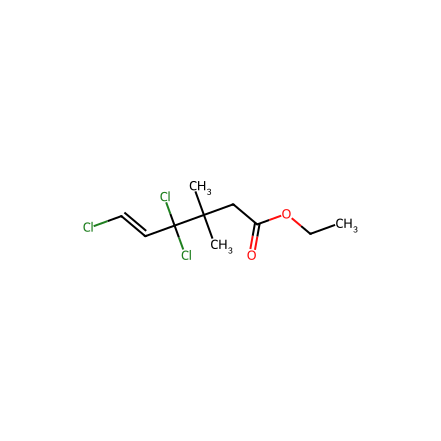 CCOC(=O)CC(C)(C)C(Cl)(Cl)/C=C/Cl